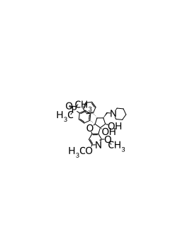 COc1cc2c(c(OC)n1)[C@]1(O)[C@H](O)[C@H](CN3CCCCC3)[C@@H](c3ccccc3)[C@]1(c1ccc(P(C)(C)=O)cc1)O2